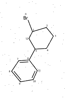 BrC1CCCC(c2cc[c]cc2)C1